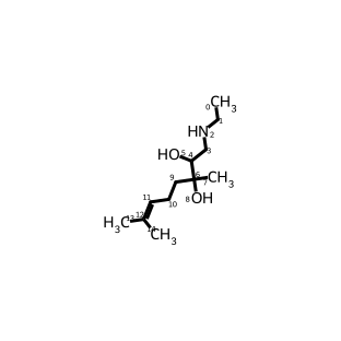 CCNCC(O)C(C)(O)CCC=C(C)C